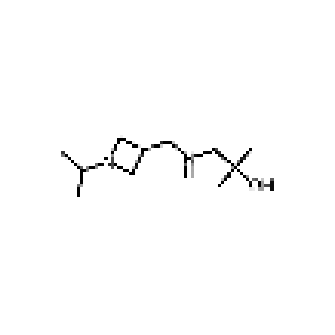 CC(C)N1CC(CNCC(C)(C)O)C1